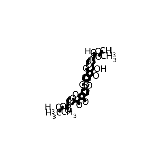 CC(C)(C)OC(=O)N1CCOC(C(=O)C2C(=O)c3ccc(S(=O)(=O)c4ccc5c(c4)C(=O)C(C(O)C4CN(C(=O)OC(C)(C)C)CCO4)C5=O)cc3C2=O)C1